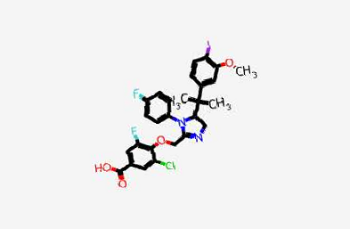 COc1cc(C(C)(C)C2CN=C(COc3c(F)cc(C(=O)O)cc3Cl)N2c2ccc(F)cc2)ccc1I